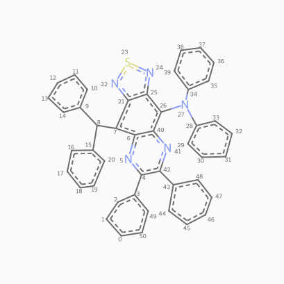 c1ccc(-c2nc3c(C(c4ccccc4)c4ccccc4)c4nsnc4c(N(c4ccccc4)c4ccccc4)c3nc2-c2ccccc2)cc1